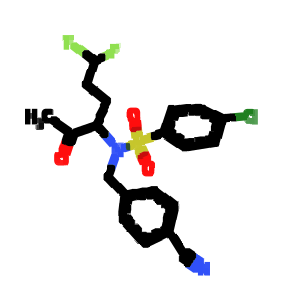 CC(=O)C(CCC(F)F)N(Cc1ccc(C#N)cc1)S(=O)(=O)c1ccc(Cl)cc1